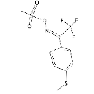 CSc1ccc(/C(=N/OS(C)(=O)=O)C(F)(F)F)cc1